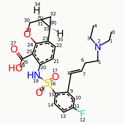 CCN(CC)CCC=Cc1cc(F)ccc1S(=O)(=O)Nc1ccc2c(c1C(=O)O)OC[C@H]1C[C@@H]21